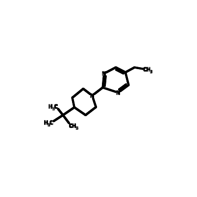 CCc1cnc(N2CCC(C(C)(C)C)CC2)nc1